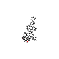 c1ccc(-c2ccc(-c3c4ccccc4c(-c4ccc5c(c4)nc(-c4ccccc4)c4ccc6c(c45)-c4ccccc4C64c5ccccc5Oc5ccccc54)c4ccccc34)cc2)cc1